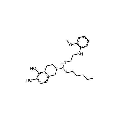 CCCCCCN(NCCNc1ccccc1OC)C1CCc2c(ccc(O)c2O)C1